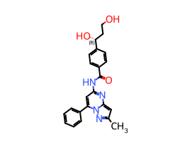 Cc1cc2nc(NC(=O)c3ccc([C@H](O)CCO)cc3)cc(-c3ccccc3)n2n1